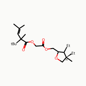 CCC1C(COC(=O)COC(=O)C(C)(C=C(C)C)C(C)(C)C)OC[C@]1(C)CC